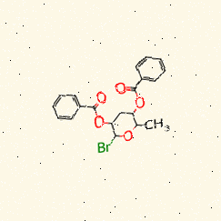 CC1OC(Br)C(OC(=O)c2ccccc2)CC1OC(=O)c1ccccc1